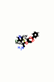 CO[C@@H](CN)C(OC1COC(c2ccccc2)O[C@@H]1C)Sc1cc(Cl)cnc1C#N